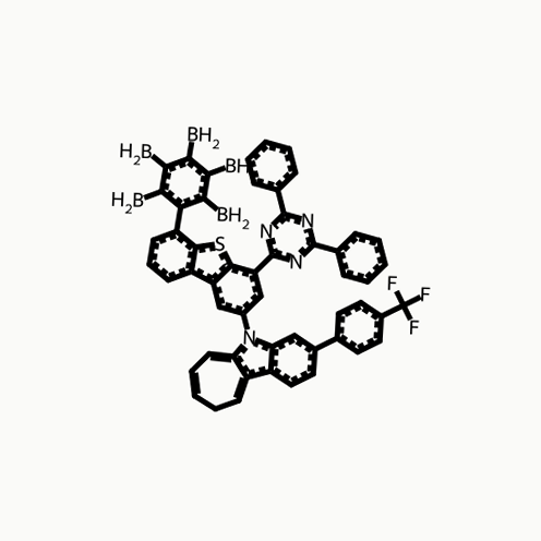 Bc1c(B)c(B)c(-c2cccc3c2sc2c(-c4nc(-c5ccccc5)nc(-c5ccccc5)n4)cc(-n4c5c(c6ccc(-c7ccc(C(F)(F)F)cc7)cc64)=CCC=CC=5)cc23)c(B)c1B